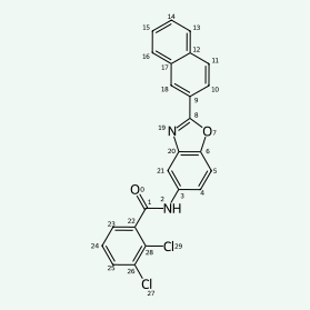 O=C(Nc1ccc2oc(-c3ccc4ccccc4c3)nc2c1)c1cccc(Cl)c1Cl